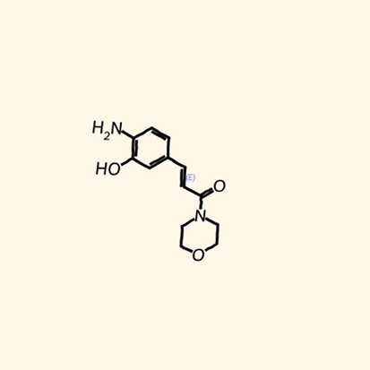 Nc1ccc(/C=C/C(=O)N2CCOCC2)cc1O